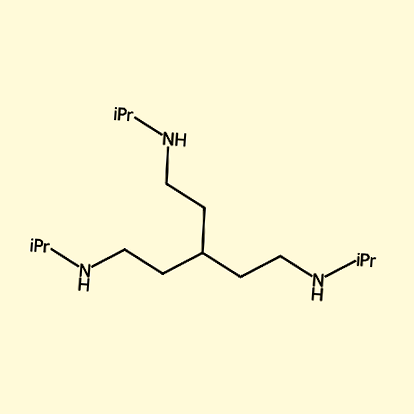 CC(C)NCCC(CCNC(C)C)CCNC(C)C